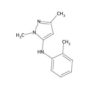 Cc1cc(Nc2ccccc2C)n(C)n1